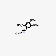 COc1cc(/N=C/C[N+](=O)[O-])c(C(=O)O)cc1OC